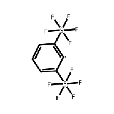 FS(F)(F)(F)(F)c1[c]c(S(F)(F)(F)(F)F)ccc1